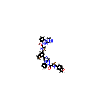 O=C(Nc1ccccc1N1CCNCC1)c1csc(-c2cc(C3CN(c4ccccc4NC(=O)c4csc(-c5ccc6occc6c5)n4)CCN3)c3sccc3c2)n1